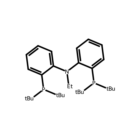 CCN(c1ccccc1P(C(C)(C)C)C(C)(C)C)c1ccccc1P(C(C)(C)C)C(C)(C)C